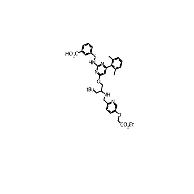 CCOC(=O)COc1ccc(CNC(COc2cc(-c3c(C)cccc3C)nc(NSc3cccc(C(=O)O)c3)n2)CC(C)(C)C)nc1